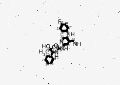 CC(C)(O)C(NC(=O)Nc1cc(C=N)c(Nc2ccc(F)cc2)cn1)c1ccccc1